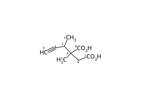 C#CC(C)C(C)(CC(=O)O)C(=O)O